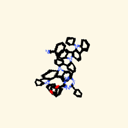 N#Cc1ccccc1-c1ccc(-n2c3ccccc3c3c2ccc2c4ccccc4n(-c4ccccc4)c23)c(-c2cc(-c3nc(-c4ccccc4)nc(-c4ccccc4)n3)ccc2-n2c3ccccc3c3c2ccc2c4ccccc4n(-c4ccccc4)c23)c1